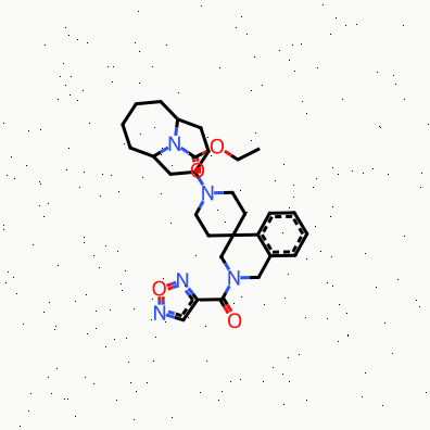 CCOC(=O)N1C2CCCCC1CC(N1CCC3(CC1)CN(C(=O)c1cnon1)Cc1ccccc13)CC2